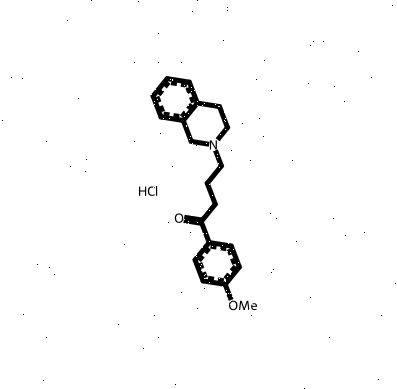 COc1ccc(C(=O)CCCN2CCc3ccccc3C2)cc1.Cl